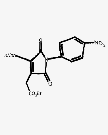 CCCCCCCCCC1=C(CC(=O)OCC)C(=O)N(c2ccc([N+](=O)[O-])cc2)C1=O